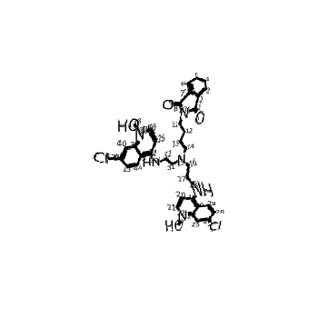 O=C1c2ccccc2C(=O)N1CCCCN(CCNc1cc[n+](O)c2cc(Cl)ccc12)CCNc1cc[n+](O)c2cc(Cl)ccc12